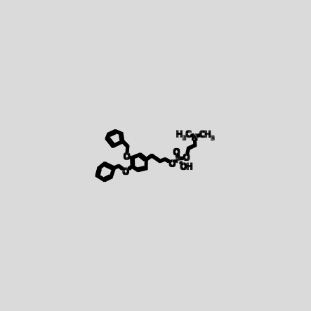 CN(C)CCOP(=O)(O)OCCCc1ccc(OCc2ccccc2)c(OCc2ccccc2)c1